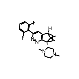 CN1CCN(C)[C@H](C23CC[C@@H](c4cc(-c5c(F)cccc5F)nnc42)C3(C)C)C1